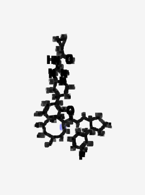 CC1C/C=C(/C(=O)CCC2CCCC2c2cccc(F)c2)c2cc(-c3ccn4nc(NC(=O)C5CC5)nc4c3)ccc2CC1